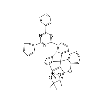 CC1(C)OB(c2cccc3c2C2(c4ccccc4Oc4ccccc42)c2cccc(-c4nc(-c5ccccc5)nc(-c5ccccc5)n4)c2-3)OC1(C)C